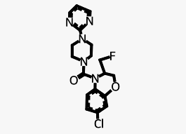 O=C(N1CCN(c2ncccn2)CC1)N1c2ccc(Cl)cc2OCC1CF